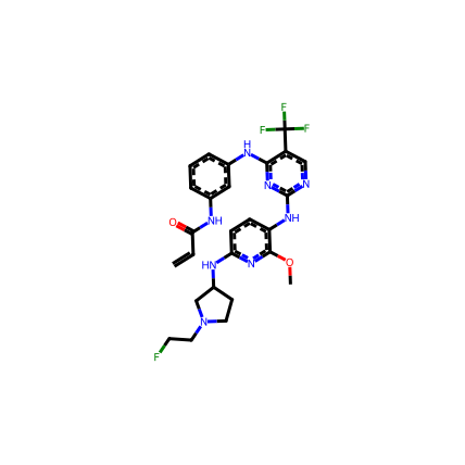 C=CC(=O)Nc1cccc(Nc2nc(Nc3ccc(NC4CCN(CCF)C4)nc3OC)ncc2C(F)(F)F)c1